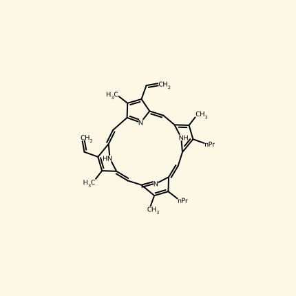 C=CC1=C(C)c2cc3[nH]c(cc4nc(cc5[nH]c(cc1n2)c(C)c5CCC)C(CCC)=C4C)c(C)c3C=C